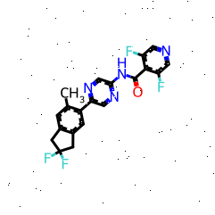 Cc1cc2c(cc1-c1cnc(NC(=O)c3c(F)cncc3F)cn1)CC(F)(F)C2